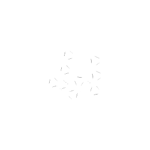 c1ccc(-c2ccc(-c3nc(-c4cccc5oc6c(-n7c8ccccc8c8ccc(-c9ccccc9)cc87)cccc6c45)nc4ccccc34)cc2)cc1